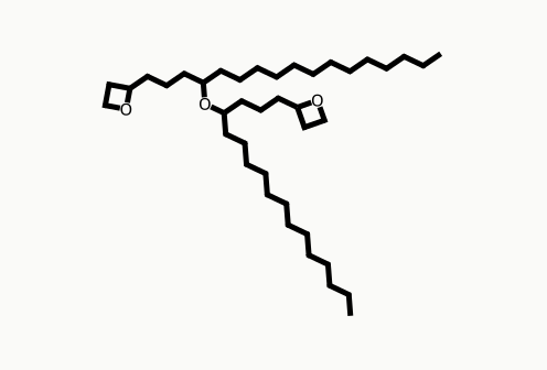 CCCCCCCCCCCCCC(CCCC1CCO1)OC(CCCCCCCCCCCCC)CCCC1CCO1